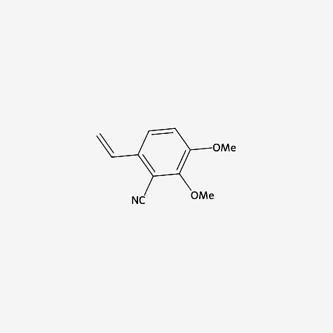 C=Cc1ccc(OC)c(OC)c1C#N